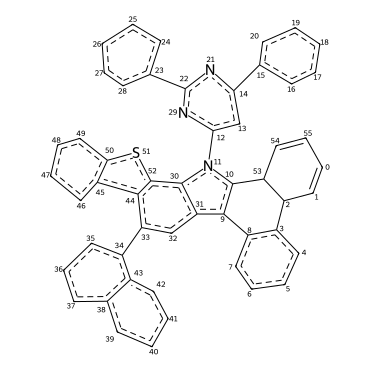 C1=CC2c3ccccc3-c3c(n(-c4cc(-c5ccccc5)nc(-c5ccccc5)n4)c4c3cc(-c3cccc5ccccc35)c3c5ccccc5sc34)C2C=C1